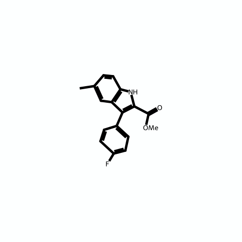 COC(=O)c1[nH]c2ccc(C)cc2c1-c1ccc(F)cc1